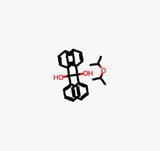 CC(C)OC(C)C.OC(c1ccccc1)(c1ccccc1)C(O)(c1ccccc1)c1ccccc1